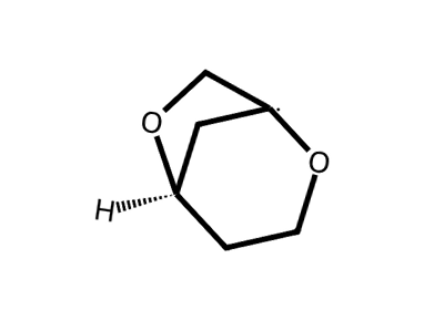 C1C[C@@H]2C[C](CO2)O1